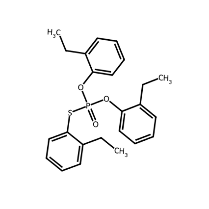 CCc1ccccc1OP(=O)(Oc1ccccc1CC)Sc1ccccc1CC